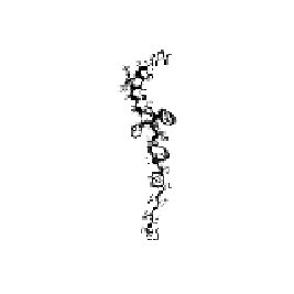 CC(C)c1cc2c(s1)-c1sc(/C=C3\SC(=O)C(CCOCCOCCCCCCCl)C3=O)cc1C2(C)C